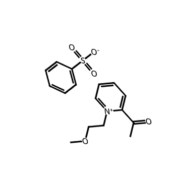 COCC[n+]1ccccc1C(C)=O.O=S(=O)([O-])c1ccccc1